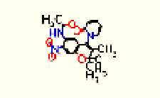 CC(=O)Nc1cc2c(cc1[N+](=O)[O-])OC(C)(C)C(C)=C2n1ccccc1=O